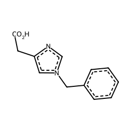 O=C(O)Cc1cn(Cc2ccccc2)cn1